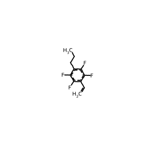 C=Cc1c(F)c(F)c(CCC)c(F)c1F